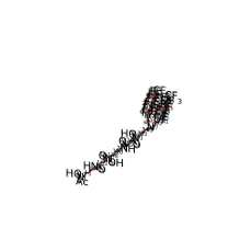 CC(=O)N(O)CCCCCNC(=O)CCC(=O)N(O)CCCCCNC(=O)CCC(=O)N(O)CCCCCN(CCCC(F)(F)C(F)(F)C(F)(F)C(F)(F)C(F)(F)C(F)(F)C(F)(F)C(F)(F)F)CCCC(F)(F)C(F)(F)C(F)(F)C(F)(F)C(F)(F)C(F)(F)C(F)(F)C(F)(F)F